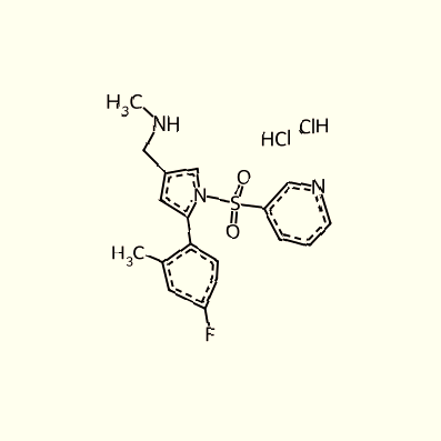 CNCc1cc(-c2ccc(F)cc2C)n(S(=O)(=O)c2cccnc2)c1.Cl.Cl